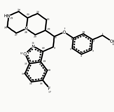 OCc1cccc(OC(Cc2noc3ccc(F)cc23)C2CCC3CNCCN3C2)c1